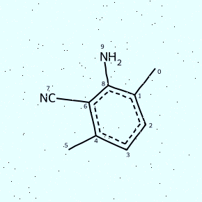 Cc1ccc(C)c(C#N)c1N